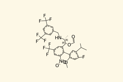 COc1cc(F)c(C(C)C)cc1-c1c([C@@H](OC=O)[C@@H](C)NCc2cc(C(F)(F)F)cc(C(F)(F)F)c2)cc(C(F)(F)F)cc1[N+](=O)[O-]